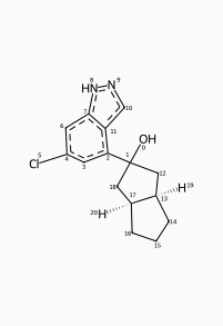 OC1(c2cc(Cl)cc3[nH]ncc23)C[C@H]2CCC[C@H]2C1